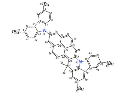 CC(C)(C)c1ccc2c(c1)c1cc(C(C)(C)C)ccc1n2-c1cc2ccc3cc4c(c5ccc(c1)c2c35)C(C)(C)c1cc(C(C)(C)C)cc2c3cc(C(C)(C)C)ccc3n-4c12